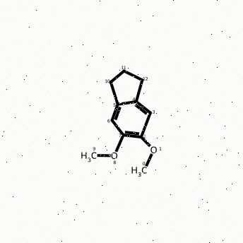 COc1cc2c(cc1OC)CCC2